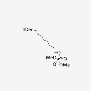 CCCCCCCCCCCCCCCCCCOC(=O)P(=O)(OC)OC